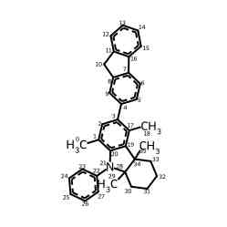 Cc1cc(-c2ccc3c(c2)Cc2ccccc2-3)c(C)c2c1N(c1ccccc1)C1(C)CCCCC21C